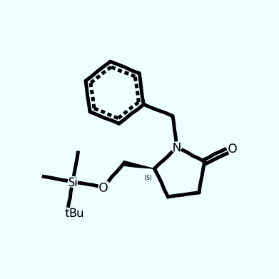 CC(C)(C)[Si](C)(C)OC[C@@H]1CCC(=O)N1Cc1ccccc1